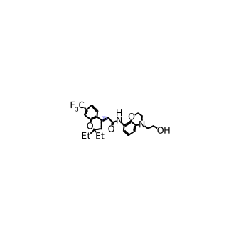 CCC1(CC)C/C(=C\C(=O)Nc2cccc3c2OCCN3CCO)c2ccc(C(F)(F)F)cc2O1